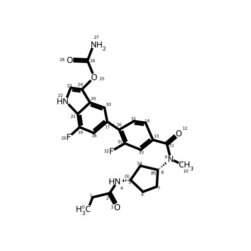 CCC(=O)N[C@H]1CC[C@@H](N(C)C(=O)c2ccc(-c3cc(F)c4[nH]cc(OC(N)=O)c4c3)c(F)c2)C1